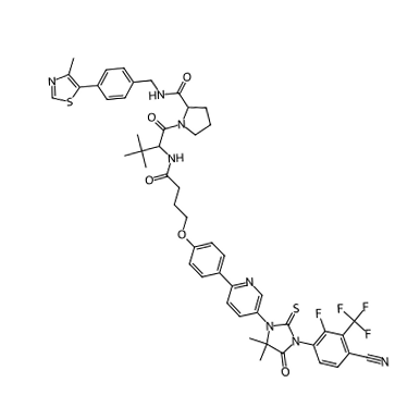 Cc1ncsc1-c1ccc(CNC(=O)C2CCCN2C(=O)C(NC(=O)CCCOc2ccc(-c3ccc(N4C(=S)N(c5ccc(C#N)c(C(F)(F)F)c5F)C(=O)C4(C)C)cn3)cc2)C(C)(C)C)cc1